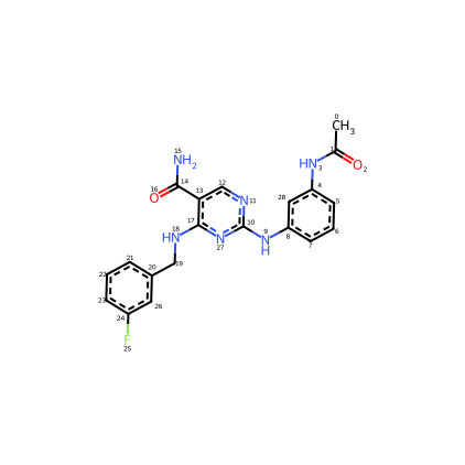 CC(=O)Nc1cccc(Nc2ncc(C(N)=O)c(NCc3cccc(F)c3)n2)c1